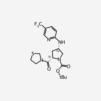 CC(C)(C)OC(=O)N1C[C@@H](Nc2ccc(C(F)(F)F)cn2)C[C@H]1C(=O)N1CCSC1